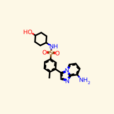 Cc1ccc(S(=O)(=O)NC2CCC(O)CC2)cc1-c1cnc2c(N)cccn12